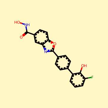 O=C(NO)c1ccc2oc(-c3ccc(-c4cccc(F)c4O)cc3)nc2c1